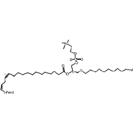 CCCCC/C=C\C/C=C\CCCCCCCCCCCC(=O)O[C@H](COCCCCCCCCCCCCCCCCCCCC)COP(=O)([O-])OCC[N+](C)(C)C